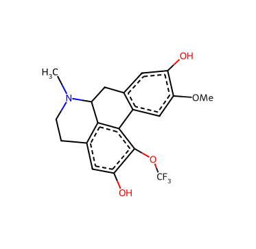 COc1cc2c(cc1O)CC1c3c(cc(O)c(OC(F)(F)F)c3-2)CCN1C